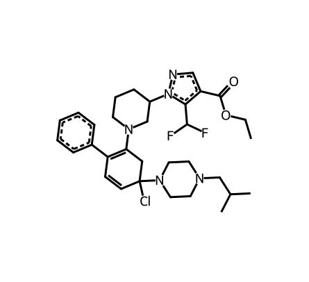 CCOC(=O)c1cnn(C2CCCN(C3=C(c4ccccc4)C=CC(Cl)(N4CCN(CC(C)C)CC4)C3)C2)c1C(F)F